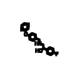 OC(CNCc1ccc(Oc2cnccn2)cc1)c1ccc(F)cc1